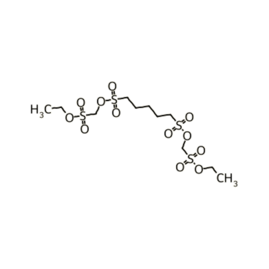 CCOS(=O)(=O)COS(=O)(=O)CCCCCS(=O)(=O)OCS(=O)(=O)OCC